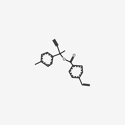 C#CC(C)(OC(=O)c1ccc(C=C)cc1)c1ccc(C)cc1